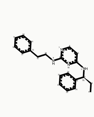 CC[C@H](Nc1ccnc(NCCc2ccccc2)n1)c1ccccc1